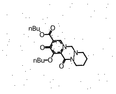 CCCCOC(=O)c1cn2c(c(OCCCC)c1=O)C(=O)N1CCCCN1C2